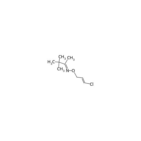 C/C(=N\OC/C=C/Cl)C(C)(C)C